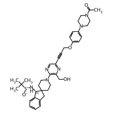 CC(=O)N1CCN(c2ccc(OCC#Cc3cnc(N4CCC5(CC4)Cc4ccccc4[C@H]5N[S+]([O-])C(C)(C)C)c(CO)n3)cc2)CC1